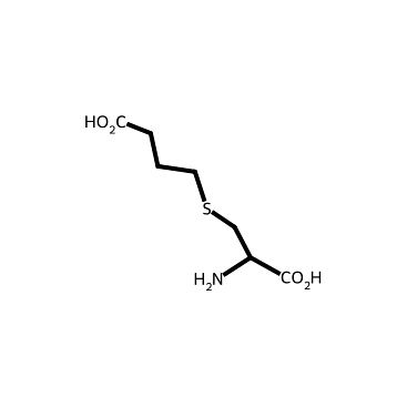 NC(CSCCCC(=O)O)C(=O)O